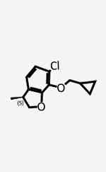 C[C@@H]1COc2c1ccc(Cl)c2OCC1CC1